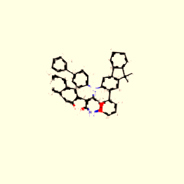 CC1(C)c2ccccc2-c2cc(N(c3ccc(-c4ccccc4)cc3)c3ccnc4oc5cc6ccccc6cc5c34)c(-c3ccccc3)cc21